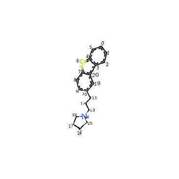 c1ccc2c(c1)sc1ccc(CCCN3CCCC3)cc12